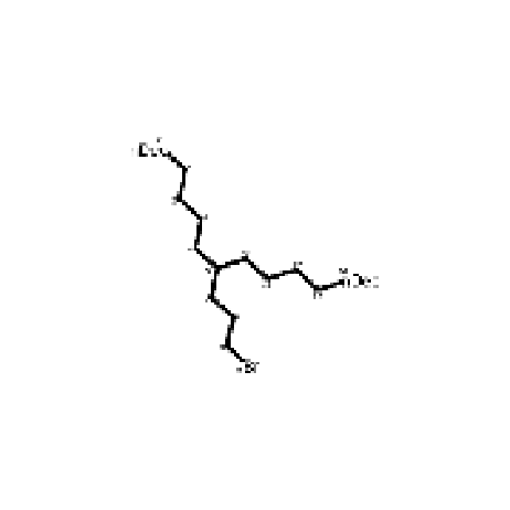 CCCCCCCCCCCCCCC(CCCBr)CCCCCCCCCCCCCC